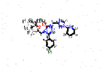 CC(C)(C)[Si](C)(C)OC(Cn1c(-c2ccc(Cl)cc2)nn(Cc2ncn(-c3ccccn3)n2)c1=O)C(F)(F)F